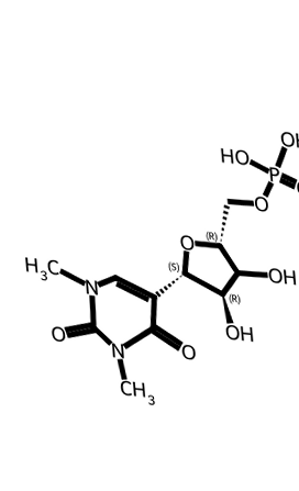 Cn1cc([C@@H]2O[C@H](COP(=O)(O)O)C(O)[C@H]2O)c(=O)n(C)c1=O